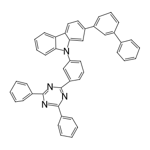 c1ccc(-c2cccc(-c3ccc4c5ccccc5n(-c5cccc(-c6nc(-c7ccccc7)nc(-c7ccccc7)n6)c5)c4c3)c2)cc1